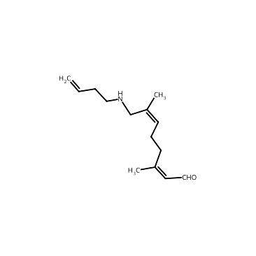 C=CCCNCC(C)=CCCC(C)=CC=O